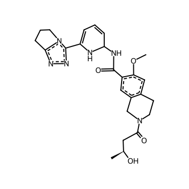 COc1cc2c(cc1C(=O)NC1C=CC=C(c3nnc4n3CCC4)N1)CN(C(=O)C[C@H](C)O)CC2